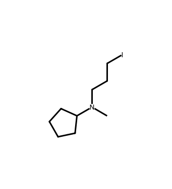 CN(CCCI)C1CCCC1